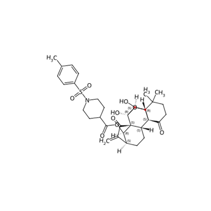 C=C1C(=O)[C@]23[C@H](OC(=O)C4CCN(S(=O)(=O)c5ccc(C)cc5)CC4)[C@H]1CC[C@H]2[C@@]12CO[C@@]3(O)[C@@H](O)[C@@H]1C(C)(C)CCC2=O